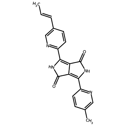 C/C=C/c1ccc(C2=C3C(=O)NC(c4ccc(C)cn4)=C3C(=O)N2)nc1